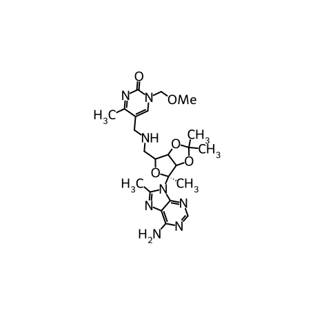 COCn1cc(CNCC2O[C@](C)(n3c(C)nc4c(N)ncnc43)C3OC(C)(C)OC23)c(C)nc1=O